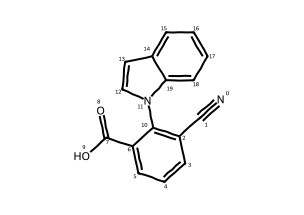 N#Cc1cccc(C(=O)O)c1-n1ccc2ccccc21